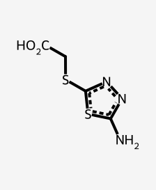 Nc1nnc(SCC(=O)O)s1